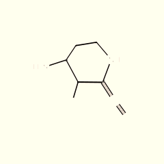 NC1CCNC(=C=O)C1F